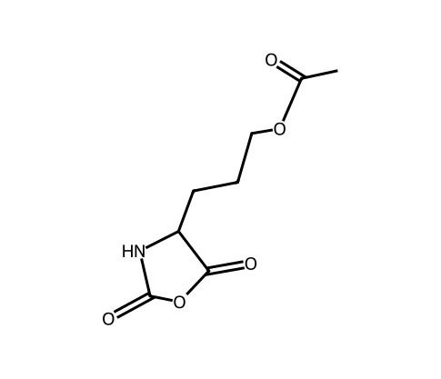 CC(=O)OCCCC1NC(=O)OC1=O